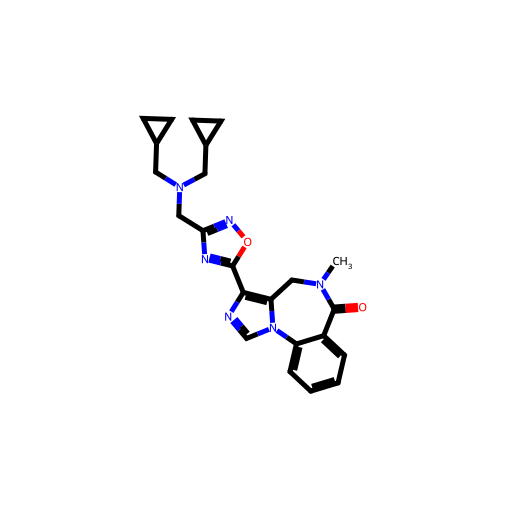 CN1Cc2c(-c3nc(CN(CC4CC4)CC4CC4)no3)ncn2-c2ccccc2C1=O